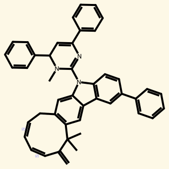 C=C1/C=C\C=C/Cc2cc3c(cc2C1(C)C)c1cc(-c2ccccc2)ccc1n3C1=NC(c2ccccc2)=CC(c2ccccc2)N1C